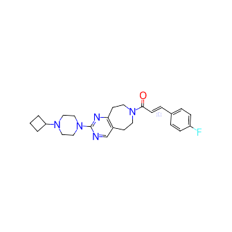 O=C(/C=C/c1ccc(F)cc1)N1CCc2cnc(N3CCN(C4CCC4)CC3)nc2CC1